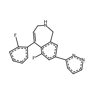 Fc1ccccc1C1=CCNCc2cc(-c3cccnn3)cc(F)c21